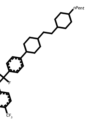 CCCCCC1CCC(CCC2CCC(c3ccc(C(F)(F)Oc4ccc(C(F)(F)F)cc4)cc3)CC2)CC1